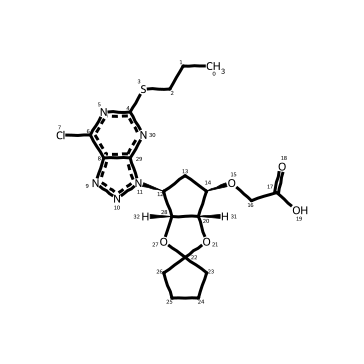 CCCSc1nc(Cl)c2nnn([C@H]3C[C@@H](OCC(=O)O)[C@@H]4OC5(CCCC5)O[C@@H]43)c2n1